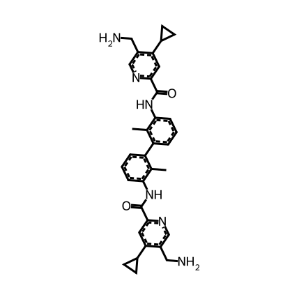 Cc1c(NC(=O)c2cc(C3CC3)c(CN)cn2)cccc1-c1cccc(NC(=O)c2cc(C3CC3)c(CN)cn2)c1C